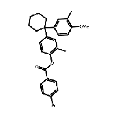 COc1ccc(C2(c3ccc(OC(=O)c4ccc(C(C)=O)cc4)c(C)c3)CCCCC2)cc1C